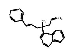 C=CCC(N)(C/C=C/c1ccccc1)c1cccc2ccccc12